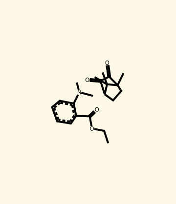 CC12CCC(C(=O)C1=O)C2(C)C.CCOC(=O)c1ccccc1N(C)C